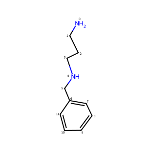 NCCCNCc1ccccc1